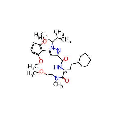 COCCN(C)C(=O)[C@H](CCC1CCCCC1)NC(=O)c1cc(-c2c(OC)cccc2OC)n(C(C)C(C)C)n1